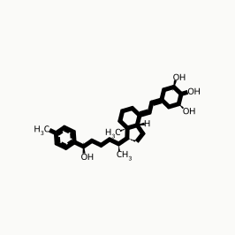 Cc1ccc([C@H](O)CCC[C@@H](C)[C@H]2CC[C@H]3/C(=C/C=C4C[C@@H](O)C(O)[C@H](O)C4)CCC[C@]23C)cc1